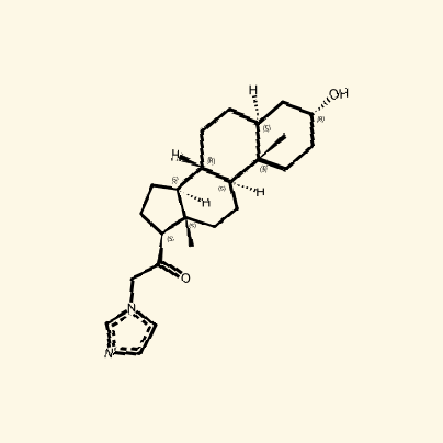 C[C@]12CC[C@@H](O)C[C@@H]1CC[C@@H]1[C@@H]2CC[C@]2(C)[C@@H](C(=O)Cn3ccnc3)CC[C@@H]12